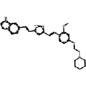 COc1cc(OCCN2CCCCC2)ccc1/C=C/c1cc(/C=C/c2ccc3cc[nH]c3c2)[nH]n1